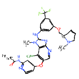 CC(=O)Nc1cc(Oc2cnc3nc(Nc4cc(OC[C@H]5CCCN5C)cc(C(F)(F)F)c4)n(C)c3c2Cl)ccn1